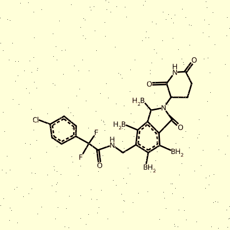 Bc1c(B)c2c(c(B)c1CNC(=O)C(F)(F)c1ccc(Cl)cc1)C(B)N(C1CCC(=O)NC1=O)C2=O